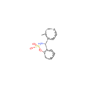 Cc1ccccc1C1NS(=O)(=O)Oc2ccccc21